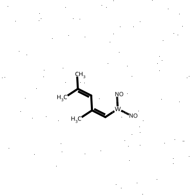 CC(C)=CC(C)=[CH][W]([N]=O)[N]=O